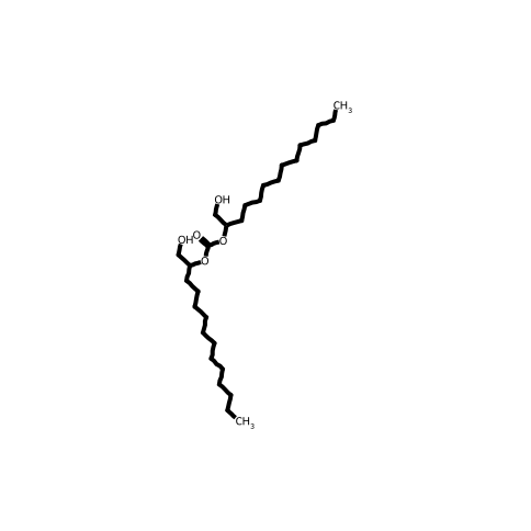 CCCCCCCCCCCCC(CO)OC(=O)OC(CO)CCCCCCCCCCCC